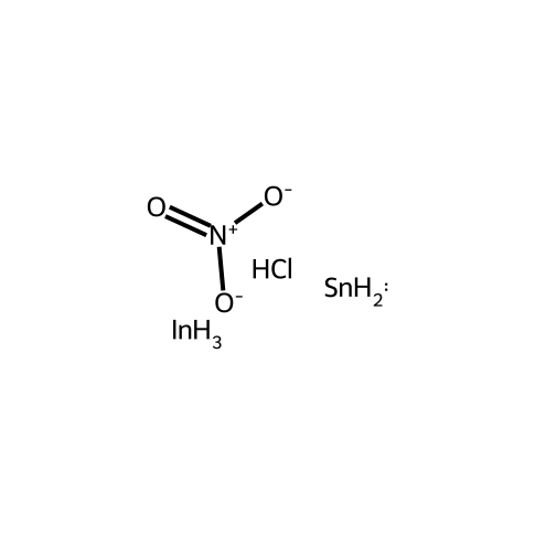 Cl.O=[N+]([O-])[O-].[InH3].[SnH2]